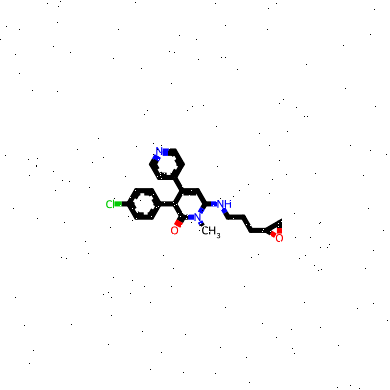 CN1C(=O)C(c2ccc(Cl)cc2)C(c2ccncc2)=CC1NCCCC1CO1